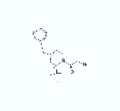 CC(C)(C)[C@H]1CN(Cc2ccccc2)CCN1C(=O)CBr